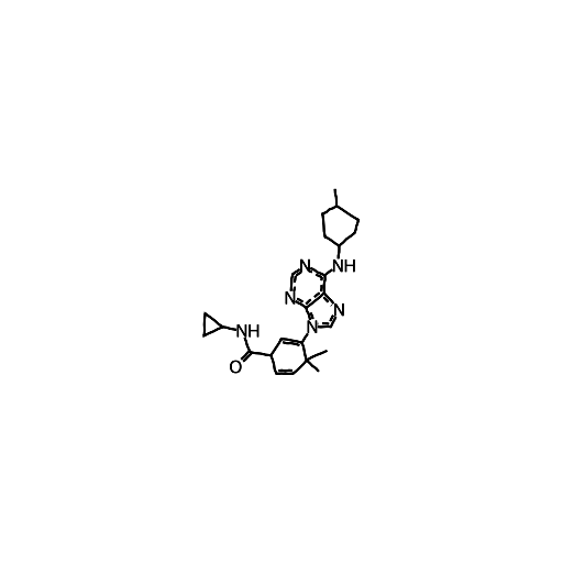 CC1CCC(Nc2ncnc3c2ncn3C2=CC(C(=O)NC3CC3)C=CC2(C)C)CC1